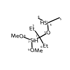 CCC(CC)(O[SiH](C)C)[SiH](OC)OC